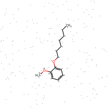 CCCCCCCOc1ccccc1OC